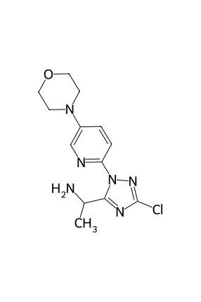 CC(N)c1nc(Cl)nn1-c1ccc(N2CCOCC2)cn1